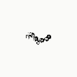 O=C(c1ccc(N2CCOC(C(F)(F)F)C2)nc1)N1CCC(N2CCc3ccccc3C2)CC1